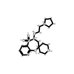 O=S1(=O)c2cccnc2OC2(CCOCC2)CN1OCCN1CCCC1